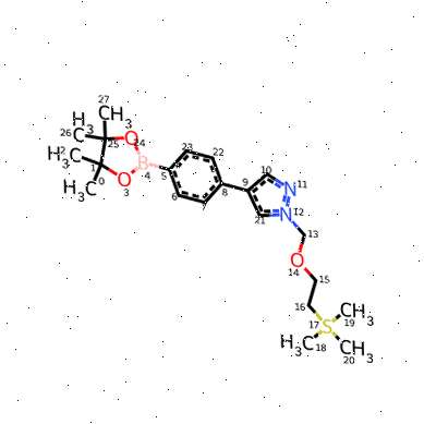 CC1(C)OB(c2ccc(-c3cnn(COCCS(C)(C)C)c3)cc2)OC1(C)C